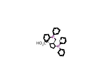 O=C(O)C[C@H]1CC[C@H](P(c2ccccc2)c2ccccc2)[C@@H]1CP(c1ccccc1)c1ccccc1